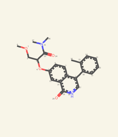 COCC(Oc1ccc2c(-c3ccccc3C)c[nH]c(=O)c2c1)C(=O)N(C)C